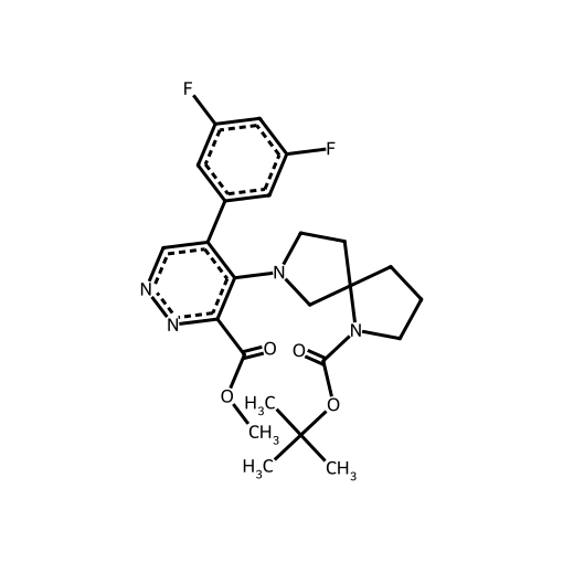 COC(=O)c1nncc(-c2cc(F)cc(F)c2)c1N1CCC2(CCCN2C(=O)OC(C)(C)C)C1